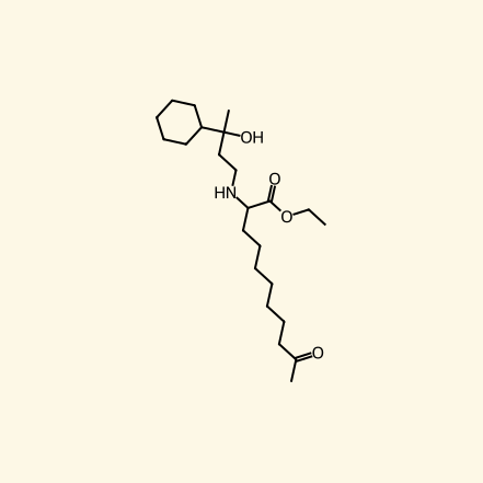 CCOC(=O)C(CCCCCCCC(C)=O)NCCC(C)(O)C1CCCCC1